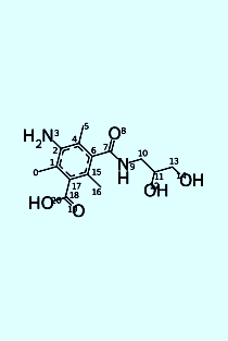 Cc1c(N)c(C)c(C(=O)NCC(O)CO)c(C)c1C(=O)O